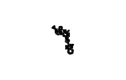 Cc1nc(N2CC(c3nc4ccccc4n3C)C2)cc(N2CCN(C3CC3)C2=O)n1